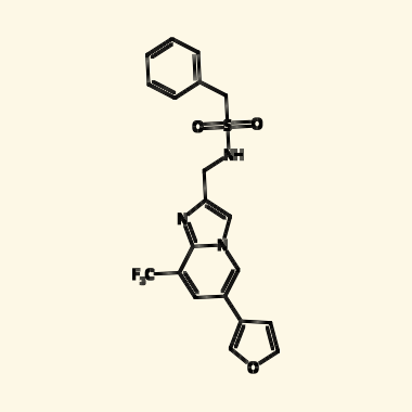 O=S(=O)(Cc1ccccc1)NCc1cn2cc(-c3ccoc3)cc(C(F)(F)F)c2n1